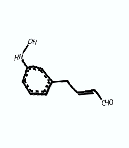 O=CC=CCc1cccc(NO)c1